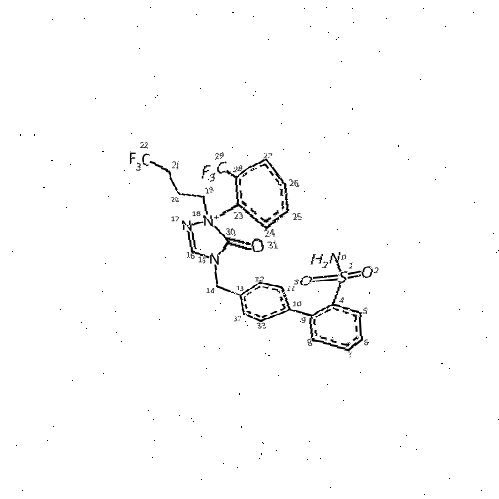 NS(=O)(=O)c1ccccc1-c1ccc(CN2C=N[N+](CCCC(F)(F)F)(c3ccccc3C(F)(F)F)C2=O)cc1